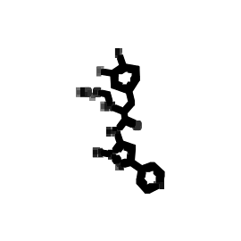 CCn1nc(-c2ccncc2)cc1NC(=O)C(Cc1ccc(F)c(F)c1)NCC(=O)O